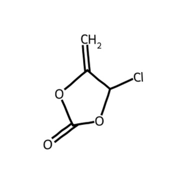 C=C1OC(=O)OC1Cl